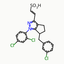 O=S(=O)(O)/C=C/c1nn(-c2ccc(Cl)cc2Cl)c2c1CCC2Cc1cccc(Cl)c1